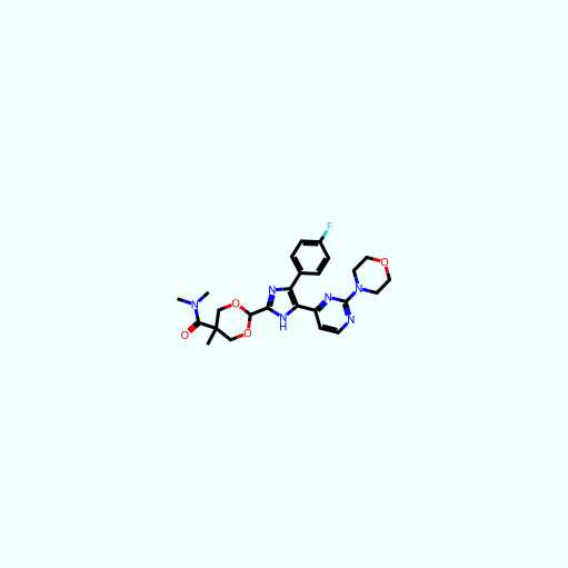 CN(C)C(=O)C1(C)COC(c2nc(-c3ccc(F)cc3)c(-c3ccnc(N4CCOCC4)n3)[nH]2)OC1